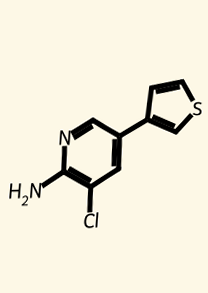 Nc1ncc(-c2ccsc2)cc1Cl